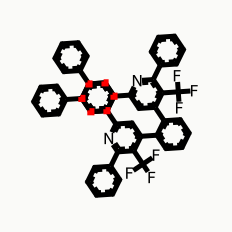 FC(F)(F)c1c(-c2ccccc2-c2cc(-c3ccc(-c4ccccc4)cc3)nc(-c3ccccc3)c2C(F)(F)F)cc(-c2ccc(-c3ccccc3)cc2)nc1-c1ccccc1